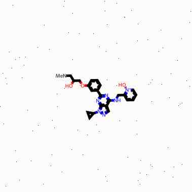 CNCC(O)COc1cccc(-c2nc(NCc3cccc[n+]3O)c3cnn(C4CC4)c3n2)c1